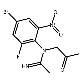 CC(=N)N(CC(C)=O)c1c(F)cc(Br)cc1[N+](=O)[O-]